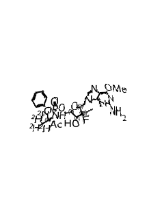 [2H]C([2H])([2H])[C@]([2H])(NP(=O)(OC[C@H]1O[C@@H](n2cnc3c(OC)nc(N)nc32)[C@](C)(F)[C@@H]1O)Oc1ccccc1)C(C)=O